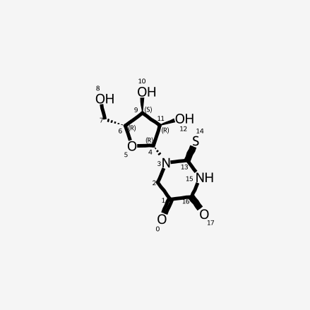 O=C1CN([C@@H]2O[C@H](CO)[C@@H](O)[C@H]2O)C(=S)NC1=O